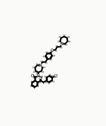 O=c1c2ccccc2c(Cc2ccc(Cl)cc2)nn1C1CCCN(CCc2ccc(OCCCN3CCCCCC3)cc2)CC1